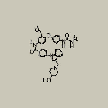 CCN(C(=O)c1ccc(-n2cc(CN3CCC(O)CC3)c3ccccc32)cc1)c1ccc(Oc2ccc(NC(=O)NN(C)C)cc2)c(COC)c1